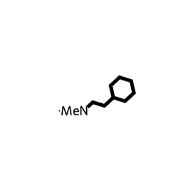 C[N]CCC1CCCCC1